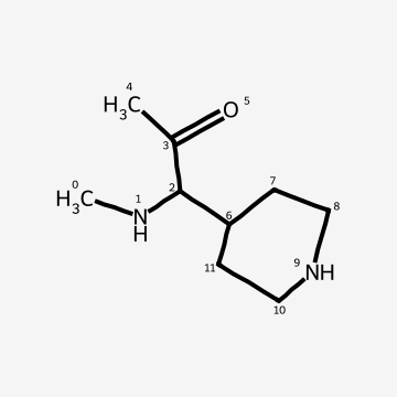 CNC(C(C)=O)C1CCNCC1